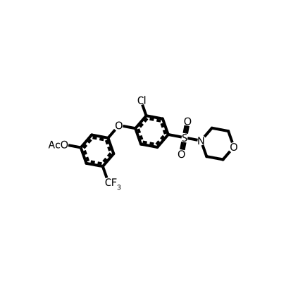 CC(=O)Oc1cc(Oc2ccc(S(=O)(=O)N3CCOCC3)cc2Cl)cc(C(F)(F)F)c1